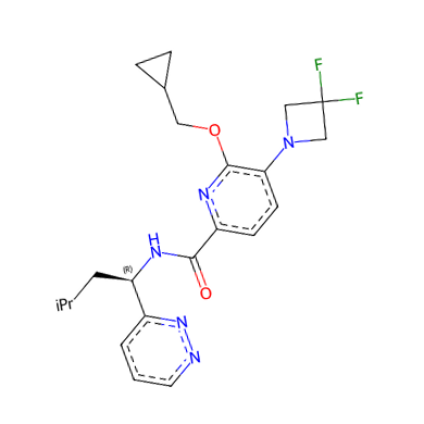 CC(C)C[C@@H](NC(=O)c1ccc(N2CC(F)(F)C2)c(OCC2CC2)n1)c1cccnn1